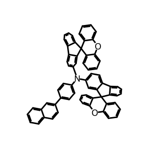 c1ccc2c(c1)Oc1ccccc1C21c2ccccc2-c2ccc(N(c3ccc(-c4ccc5ccccc5c4)cc3)c3ccc4c(c3)C3(c5ccccc5Oc5ccccc53)c3ccccc3-4)cc21